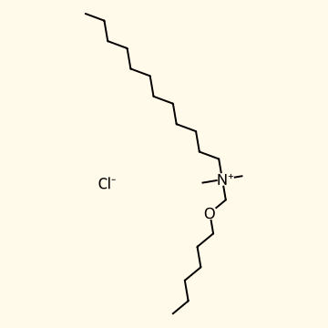 CCCCCCCCCCCC[N+](C)(C)COCCCCCC.[Cl-]